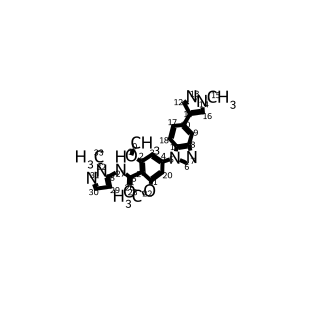 COc1cc(-n2cnc3cc(-c4cnn(C)c4)ccc32)cc(OC)c1C(=O)Nc1ccnn1C